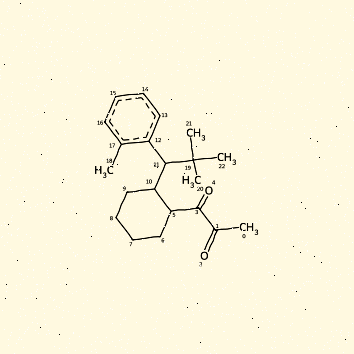 CC(=O)C(=O)C1CCCCC1C(c1ccccc1C)C(C)(C)C